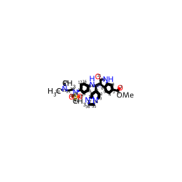 COC(=O)c1ccc2c(c1)NC(=O)/C2=C(\Nc1ccc(N(CCN(C)C)S(C)(=O)=O)cc1)c1ccn2ccnc2c1